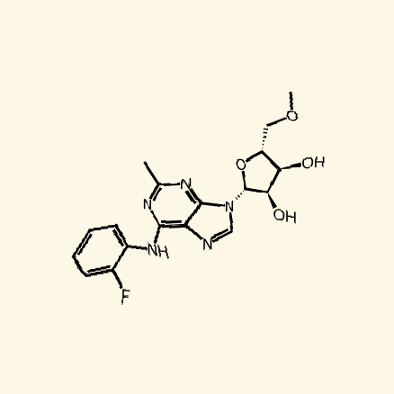 COC[C@H]1O[C@@H](n2cnc3c(Nc4ccccc4F)nc(C)nc32)[C@H](O)[C@@H]1O